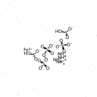 O=S(=O)([O-])OOS(=O)(=O)[O-].O=S(=O)([O-])[O-].O=S([O-])O.O=S([O-])O.[Fe+2].[NH4+].[NH4+].[NH4+].[NH4+]